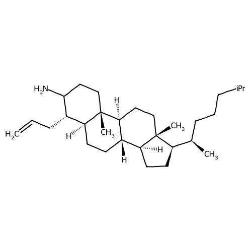 C=CC[C@@H]1C(N)CC[C@]2(C)[C@H]3CC[C@]4(C)[C@@H]([C@H](C)CCCC(C)C)CC[C@H]4[C@@H]3CC[C@@H]12